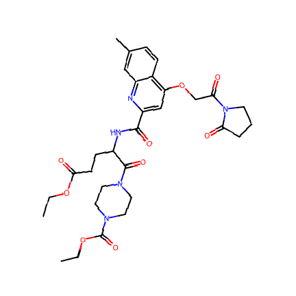 CCOC(=O)CCC(NC(=O)c1cc(OCC(=O)N2CCCC2=O)c2ccc(C)cc2n1)C(=O)N1CCN(C(=O)OCC)CC1